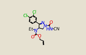 C=CCOC(=O)N(CC)C1CN(C(=O)NC#N)N=C1c1ccc(Cl)c(Cl)c1